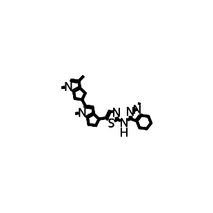 Cc1cn(C)c2c1CC(c1cc3c(n1C)CCC3c1cnc(Nc3nn(C)c4c3CCCC4)s1)C2